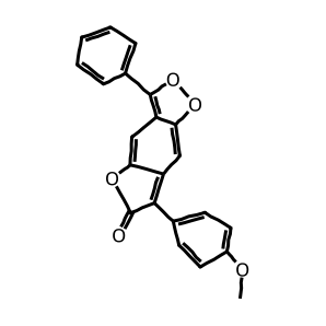 COc1ccc(-c2c(=O)oc3cc4c(-c5ccccc5)ooc4cc23)cc1